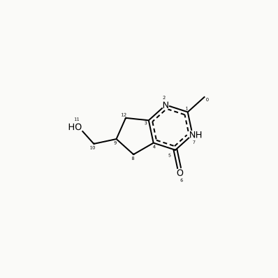 Cc1nc2c(c(=O)[nH]1)CC(CO)C2